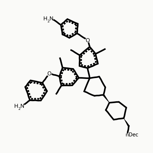 CCCCCCCCCCC[C@H]1CC[C@@H](C2CCC(c3cc(C)c(Oc4ccc(N)cc4)c(C)c3)(c3cc(C)c(Oc4ccc(N)cc4)c(C)c3)CC2)CC1